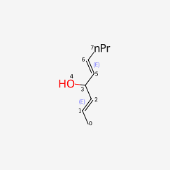 C/C=C/C(O)/C=C/CCC